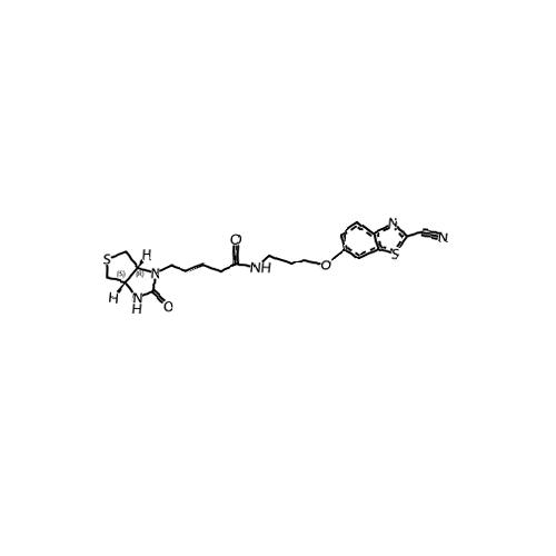 N#Cc1nc2ccc(OCCCNC(=O)CCCCN3C(=O)N[C@@H]4CSC[C@@H]43)cc2s1